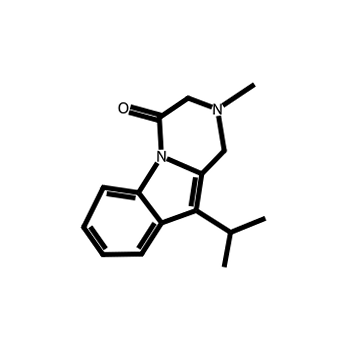 CC(C)c1c2n(c3ccccc13)C(=O)CN(C)C2